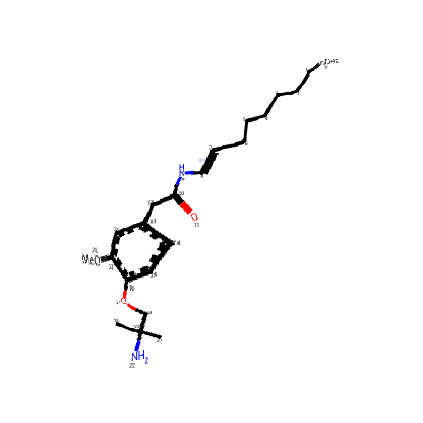 CCCCCCCCCCCCCCCC/C=C/NC(=O)Cc1ccc(OCC(C)(C)N)c(OC)c1